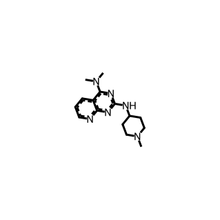 CN1CCC(Nc2nc(N(C)C)c3cccnc3n2)CC1